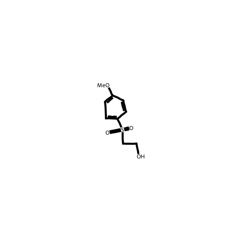 COc1ccc(S(=O)(=O)CCO)cc1